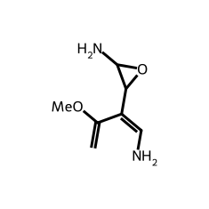 C=C(OC)/C(=C\N)C1OC1N